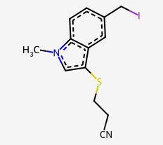 Cn1cc(SCCC#N)c2cc(CI)ccc21